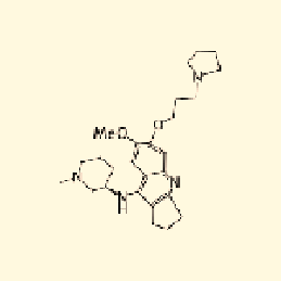 COc1cc2c(N[C@@H]3CCCN(C)C3)c3c(nc2cc1OCCCN1CCCC1)CCC3